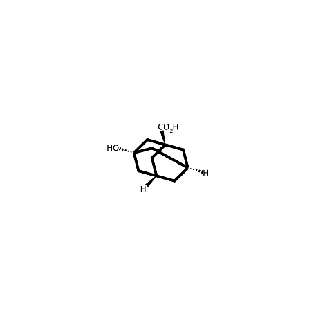 O=C(O)[C@@]12C[C@@H]3C[C@@H](C[C@@](O)(C3)C1)C2